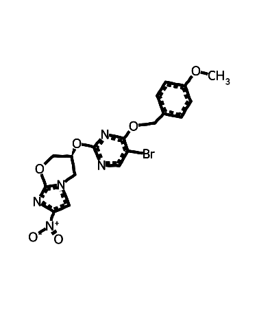 COc1ccc(COc2nc(O[C@@H]3COc4nc([N+](=O)[O-])cn4C3)ncc2Br)cc1